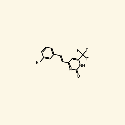 O=c1nc(C=Cc2cccc(Br)c2)cc(C(F)(F)F)[nH]1